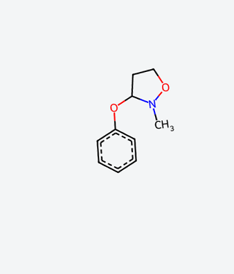 CN1OCCC1Oc1ccccc1